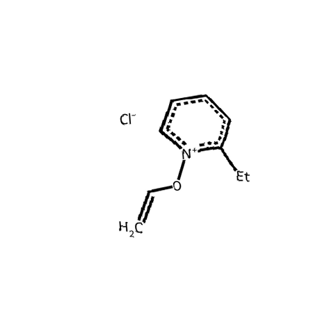 C=CO[n+]1ccccc1CC.[Cl-]